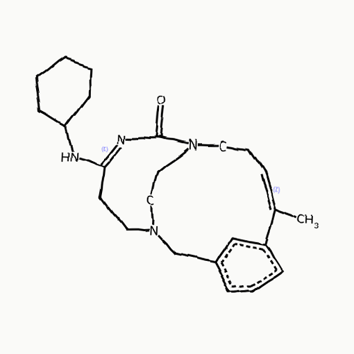 C/C1=C/CCN2CCN(CC/C(NC3CCCCC3)=N\C2=O)Cc2cccc1c2